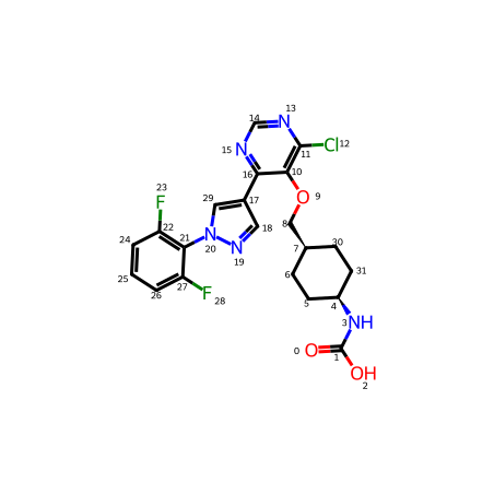 O=C(O)N[C@H]1CC[C@@H](COc2c(Cl)ncnc2-c2cnn(-c3c(F)cccc3F)c2)CC1